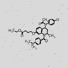 CCOC(=O)CCCOc1ccc2c(c1)N(C(=O)c1ccc(N(C)C)cc1)C(C)CC2N(C(C)=O)c1ccc(Cl)cc1